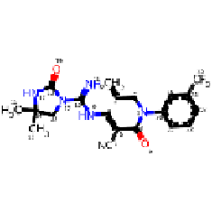 C=CCN(C(=O)C(C#N)=CNC(=N)N1CC(C)(C)NC1=O)c1cccc(C(F)(F)F)c1